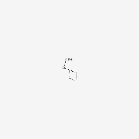 CNOC1CCC1